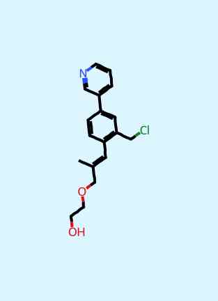 C/C(=C\c1ccc(-c2cccnc2)cc1CCl)COCCO